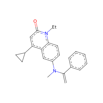 C=C(c1ccccc1)N(C)c1ccc2c(c1)c(C1CC1)cc(=O)n2CC